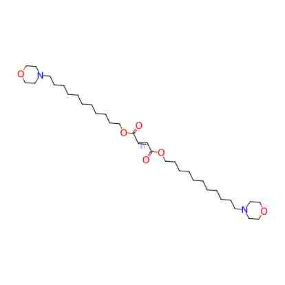 O=C(/C=C/C(=O)OCCCCCCCCCCCN1CCOCC1)OCCCCCCCCCCCN1CCOCC1